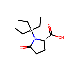 CC[Si](CC)(CC)N1C(=O)CC[C@H]1C(=O)O